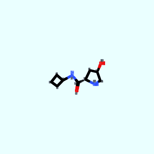 O=C(NC1CCC1)[C@@H]1C[C@@H](O)CN1